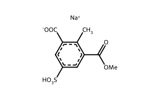 COC(=O)c1cc(S(=O)(=O)O)cc(C(=O)[O-])c1C.[Na+]